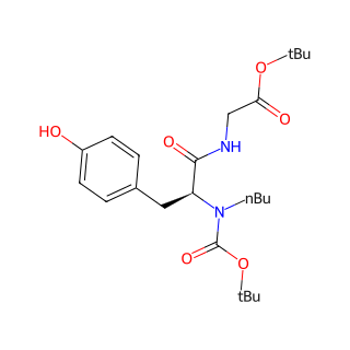 CCCCN(C(=O)OC(C)(C)C)[C@@H](Cc1ccc(O)cc1)C(=O)NCC(=O)OC(C)(C)C